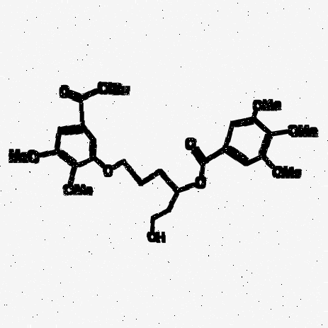 COc1cc(C(=O)OC(CCO)CCCOc2cc(C(=O)OCC(C)C)cc(OC)c2OC)cc(OC)c1OC